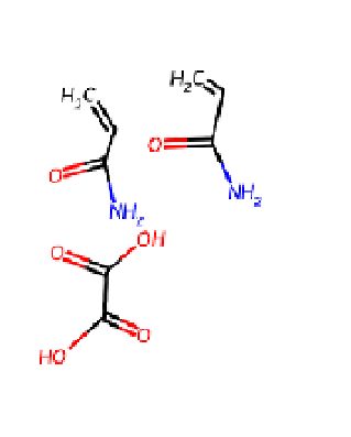 C=CC(N)=O.C=CC(N)=O.O=C(O)C(=O)O